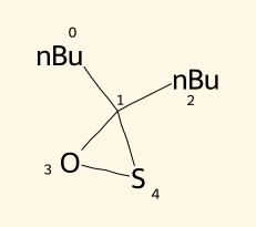 CCCCC1(CCCC)OS1